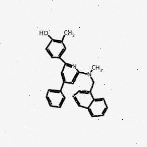 Cc1cc(-c2cc(-c3ccccc3)cc(N(C)Cc3cccc4ccccc34)n2)ccc1O